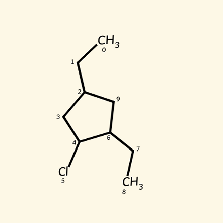 CCC1CC(Cl)C(CC)C1